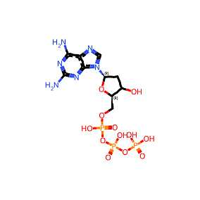 Nc1nc(N)c2ncn([C@H]3CC(O)[C@@H](COP(=O)(O)OP(=O)(O)OP(=O)(O)O)O3)c2n1